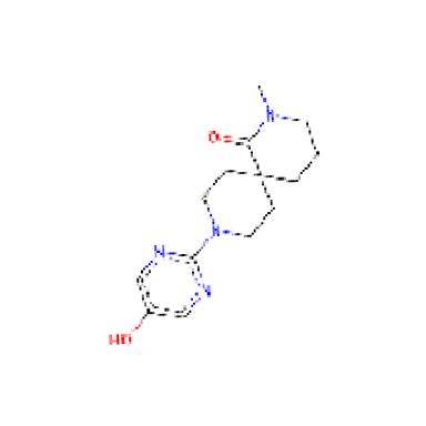 CN1CCCC2(CCN(c3ncc(O)cn3)CC2)C1=O